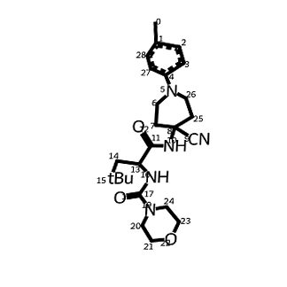 Cc1ccc(N2CCC(C#N)(NC(=O)C(CC(C)(C)C)NC(=O)N3CCOCC3)CC2)cc1